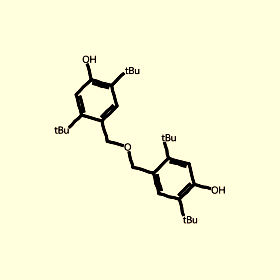 CC(C)(C)c1cc(COCc2cc(C(C)(C)C)c(O)cc2C(C)(C)C)c(C(C)(C)C)cc1O